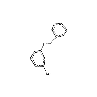 O=Nc1cccc(OCc2ccccn2)c1